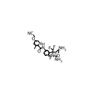 Cc1cc(OCC#N)cnc1C(=O)Nc1ccc(F)c([C@](NC(N)=O)(C(F)F)[C@H]2C[C@H]2N)c1